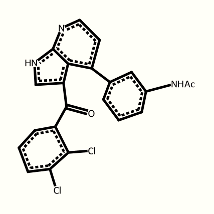 CC(=O)Nc1cccc(-c2ccnc3[nH]cc(C(=O)c4cccc(Cl)c4Cl)c23)c1